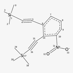 C[Si](C)(C)C#Cc1cccc([N+](=O)[O-])c1C#C[Si](C)(C)C